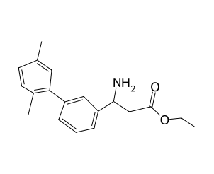 CCOC(=O)CC(N)c1cccc(-c2cc(C)ccc2C)c1